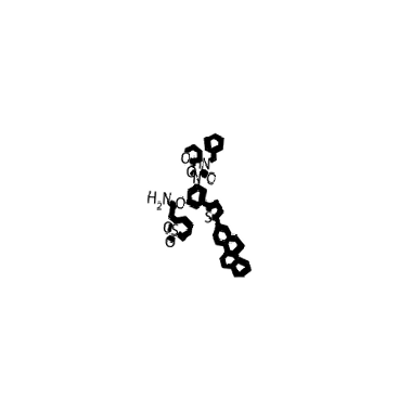 NC(=O)CC1C=CC=CS1(=O)=O.O=C(NCc1ccccc1)N(OC1CCCCO1)c1cccc(-c2ccc(C3=Cc4ccc5c(c4CC3)CCc3ccccc3-5)s2)c1